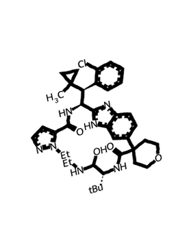 CCNC(O)[C@H](NC(=O)C1(c2ccc3nc([C@@H](NC(=O)c4ccnn4CC)[C@H](c4ccccc4Cl)C4(C)CC4)[nH]c3c2)CCOCC1)C(C)(C)C